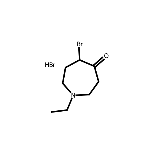 Br.CCN1CCC(=O)C(Br)CC1